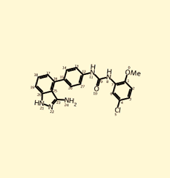 COc1ccc(Cl)cc1NC(=O)Nc1ccc(-c2cccc3[nH]nc(N)c23)cc1